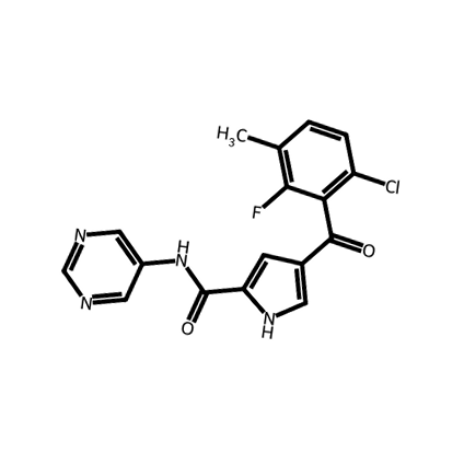 Cc1ccc(Cl)c(C(=O)c2c[nH]c(C(=O)Nc3cncnc3)c2)c1F